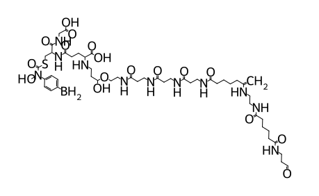 Bc1ccc(N(O)C(=O)SCC(NC(=O)CCC(NCCC(O)OCCNC(=O)CCNC(=O)CCNC(=O)CCNC(=O)CCCCC(=C)NCCNC(=O)CCCCC(=O)NCCC=O)C(=O)O)C(=O)NCC(=O)O)cc1